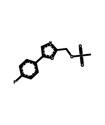 CS(=O)(=O)OCc1ncc(-c2ccc(F)cc2)o1